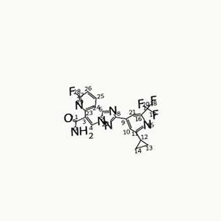 NC(=O)/C(=C/n1cnc(-c2cc(C3CC3)nc(C(F)(F)F)c2)n1)c1cccc(F)n1